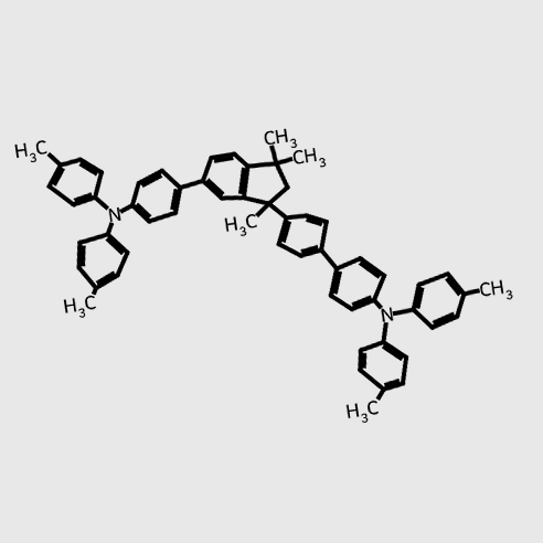 Cc1ccc(N(c2ccc(C)cc2)c2ccc(-c3ccc(C4(C)CC(C)(C)c5ccc(-c6ccc(N(c7ccc(C)cc7)c7ccc(C)cc7)cc6)cc54)cc3)cc2)cc1